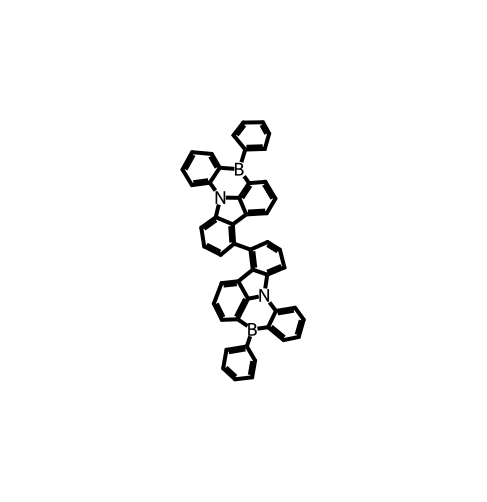 c1ccc(B2c3ccccc3-n3c4cccc(-c5cccc6c5c5cccc7c5n6-c5ccccc5B7c5ccccc5)c4c4cccc2c43)cc1